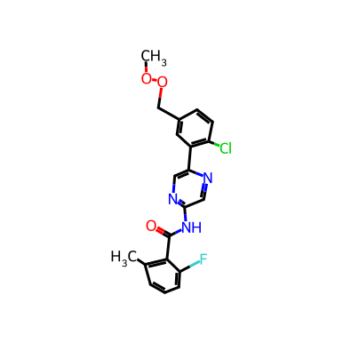 COOCc1ccc(Cl)c(-c2cnc(NC(=O)c3c(C)cccc3F)cn2)c1